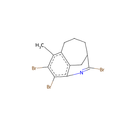 Cc1c(Br)c(Br)c2c3c1CCCC(C3)C(Br)=N2